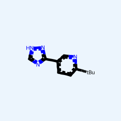 CC(C)(C)c1ccc(-c2nc[nH]n2)cn1